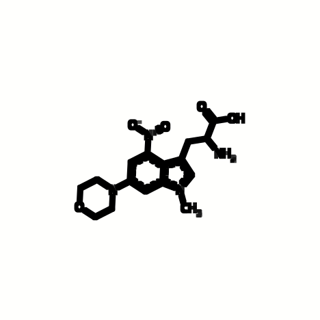 Cn1cc(CC(N)C(=O)O)c2c([N+](=O)[O-])cc(N3CCOCC3)cc21